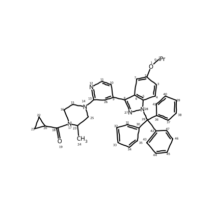 CC(C)Oc1ccc2c(c1)c(-c1ccnc(N3CCN(C(=O)C4CC4)C(C)C3)c1)nn2C(c1ccccc1)(c1ccccc1)c1ccccc1